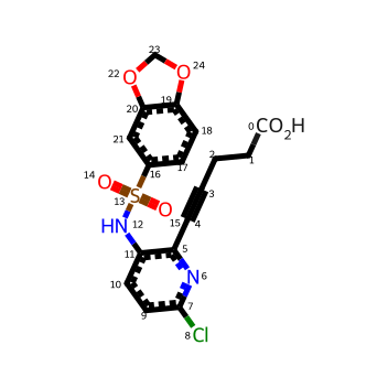 O=C(O)CCC#Cc1nc(Cl)ccc1NS(=O)(=O)c1ccc2c(c1)OCO2